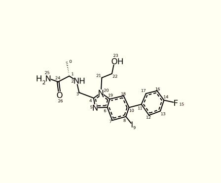 C[C@H](NCc1nc2cc(I)c(-c3ccc(F)cc3)cc2n1CCO)C(N)=O